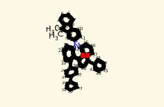 CC1(C)c2ccccc2-c2ccc(N(c3ccccc3)c3cccc(-c4ccc(-c5ccccc5)cc4)c3-c3ccc(-c4ccccc4)cc3)cc21